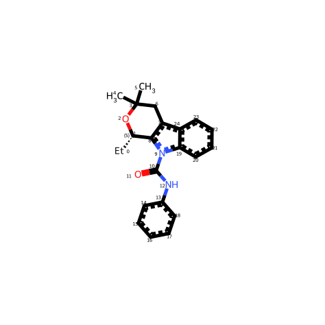 CC[C@@H]1OC(C)(C)Cc2c1n(C(=O)Nc1ccccc1)c1ccccc21